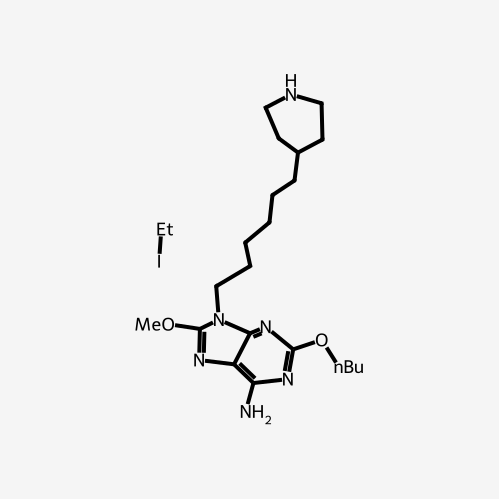 CCCCOc1nc(N)c2nc(OC)n(CCCCCCC3CCNCC3)c2n1.CCI